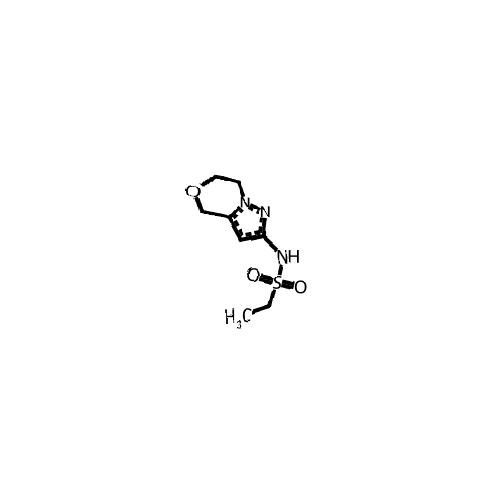 CCS(=O)(=O)Nc1cc2n(n1)CCOC2